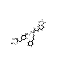 CCOC(Cc1ccc(OCCN(CCCc2ccccc2)C(=O)Nc2ccc3c(c2)CCC3)cc1)C(=O)O